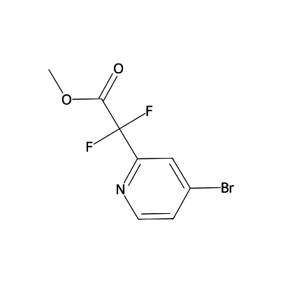 COC(=O)C(F)(F)c1cc(Br)ccn1